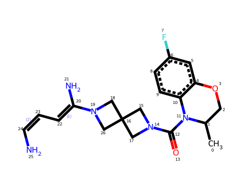 CC1COc2cc(F)ccc2N1C(=O)N1CC2(C1)CN(/C(N)=C/C=C\N)C2